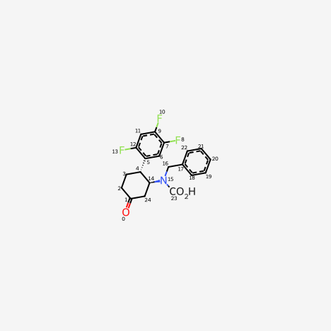 O=C1CC[C@H](c2cc(F)c(F)cc2F)[C@@H](N(Cc2ccccc2)C(=O)O)C1